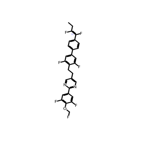 CC/C(F)=C(\F)c1ccc(-c2cc(F)c(CCc3cnc(-c4cc(F)c(OCF)c(F)c4)nc3)c(F)c2)cc1